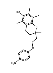 Cc1c(C)c2c(c(C)c1O)CCC(C)(CCOc1ccc(N)cc1)O2